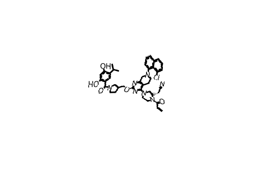 C=CC(=O)N1CCN(c2nc(OCC3CCN(C(=O)c4cc(C(C)C)c(O)cc4O)C3)nc3c2CCN(c2cccc4cccc(Cl)c24)C3)C[C@@H]1CC#N